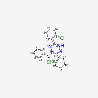 ClC1=C(C2=NN(Cc3ccccc3)C(C3=C(Cl)CCCC3)=NN2)CCCC1